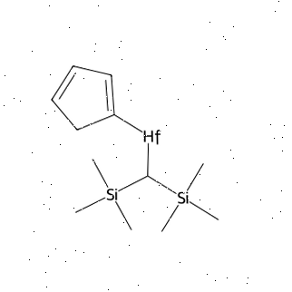 C[Si](C)(C)[CH]([Hf][C]1=CC=CC1)[Si](C)(C)C